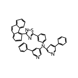 c1ccc(-c2cncc(N(c3cncc(-c4ccccc4)c3)c3cccc(-c4nc(-c5cccc6ccc7ccccc7c56)ns4)c3)c2)cc1